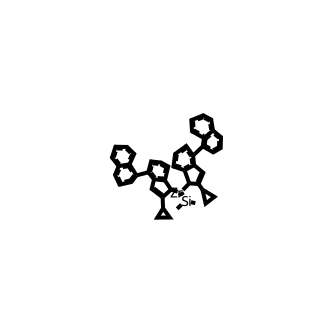 C[Si](C)=[Zr]([CH]1C(C2CC2)=Cc2c(-c3cccc4ccccc34)cccc21)[CH]1C(C2CC2)=Cc2c(-c3cccc4ccccc34)cccc21